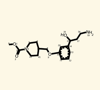 COC(=O)N1CCC(COc2cccc(C(O)CCN)c2)CC1